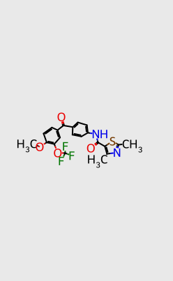 COc1ccc(C(=O)c2ccc(NC(=O)c3sc(C)nc3C)cc2)cc1OC(F)(F)F